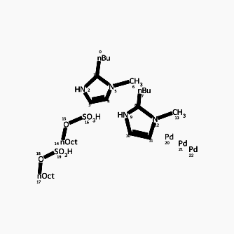 CCCCC1NC=CN1C.CCCCC1NC=CN1C.CCCCCCCCOS(=O)(=O)O.CCCCCCCCOS(=O)(=O)O.[Pd].[Pd].[Pd]